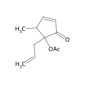 C=CCC1(OC(C)=O)C(=O)C=CC1C